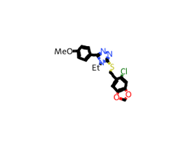 CCn1c(SCc2cc3c(cc2Cl)OCO3)nnc1-c1ccc(OC)cc1